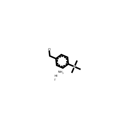 C[N+](C)(C)c1ccc(CCl)cc1.I.N.[I-]